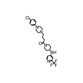 O=C(CCCN1CCN(c2ccc(Cl)cc2)CC1)N1CCC(Nc2ccnc(C(F)(F)F)c2)CC1